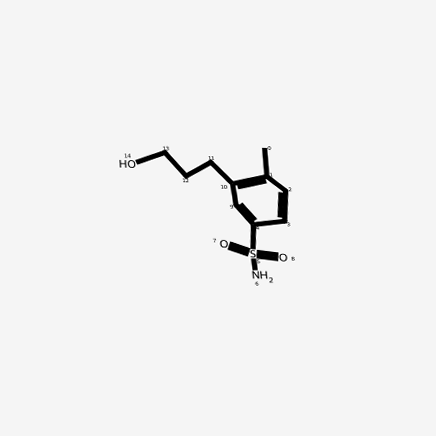 Cc1ccc(S(N)(=O)=O)cc1CCCO